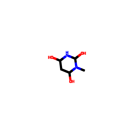 CN1C(O)CC(O)NC1O